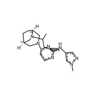 CC(CC#N)N1C[C@@H]2CC[C@H]1CN(c1ccnc(Nc3cnn(C)c3)n1)C2